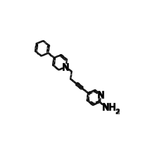 Nc1ccc(C#CCCN2C=CC(C3=CCC=CC3)=CC2)cn1